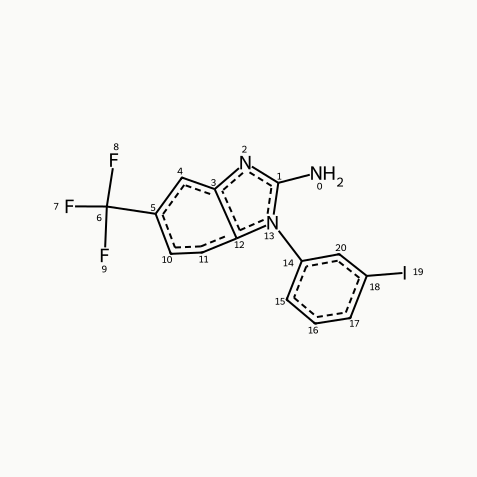 Nc1nc2cc(C(F)(F)F)ccc2n1-c1cccc(I)c1